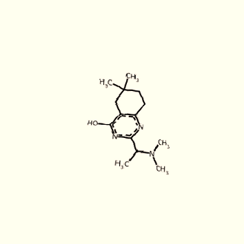 CC(c1nc(O)c2c(n1)CCC(C)(C)C2)N(C)C